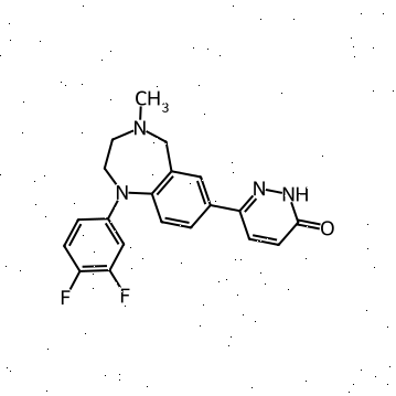 CN1CCN(c2ccc(F)c(F)c2)c2ccc(-c3ccc(=O)[nH]n3)cc2C1